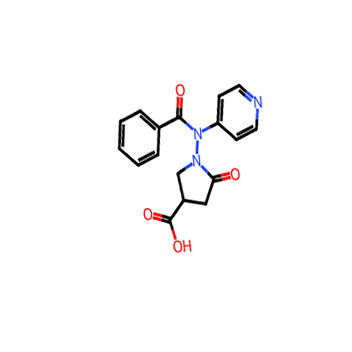 O=C(O)C1CC(=O)N(N(C(=O)c2ccccc2)c2ccncc2)C1